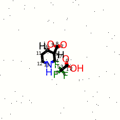 O=C(O)C(F)(F)F.O=C1O[C@@H]2CCNC[C@H]12